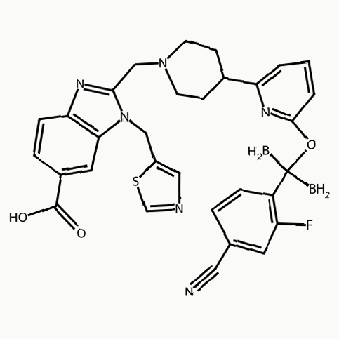 BC(B)(Oc1cccc(C2CCN(Cc3nc4ccc(C(=O)O)cc4n3Cc3cncs3)CC2)n1)c1ccc(C#N)cc1F